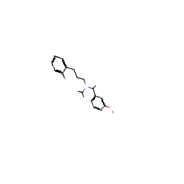 COc1cccc(C(C)N(CCCc2ccccc2C)C(C)C)c1